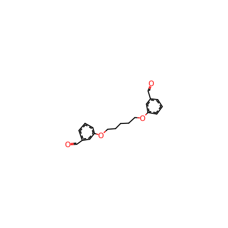 O=Cc1cccc(OCCCCCOc2cccc(C=O)c2)c1